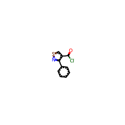 O=C(Cl)c1csnc1-c1ccccc1